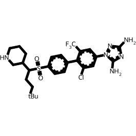 CC(C)(C)CCC(C1CCCNC1)S(=O)(=O)c1ccc(-c2c(Cl)cc(-n3nc(N)nc3N)cc2C(F)(F)F)cc1